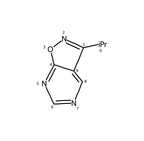 CC(C)c1noc2ncncc12